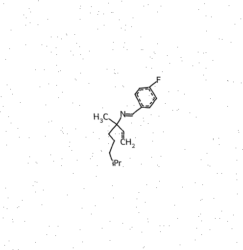 C=CC(C)(CCCC(C)C)N=Cc1ccc(F)cc1